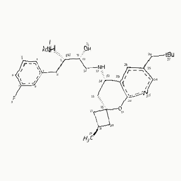 CC(=O)N[C@@H](Cc1cccc(F)c1)[C@H](O)CN[C@H]1C[C@]2(C[C@H](C)C2)Oc2ncc(CC(C)(C)C)cc21